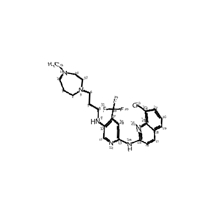 CN1CCCN(CCCNc2cnc(Nc3ccc4cccc(Cl)c4n3)cc2C(F)(F)F)CC1